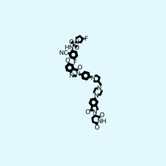 N#Cc1c(NS(=O)(=O)N2CC[C@@H](F)C2)ccc(F)c1Oc1ccc2ncn(-c3ccc(N4CCC(CN5CCN(c6ccc7c(c6)CN([C@H]6CCC(=O)NC6=O)C7=O)CC5)C4)cc3)c(=O)c2c1